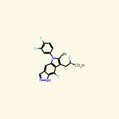 CC(C)c1c(C[C@@H](F)C(=O)O)c2c(F)c3[nH]ncc3cc2n1-c1ccc(F)c(F)c1